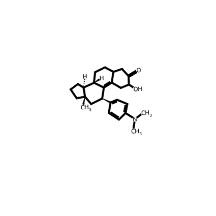 CN(C)c1ccc([C@H]2C[C@]3(C)CCC[C@H]3[C@@H]3CCC4CC(=O)C(O)CC4=C32)cc1